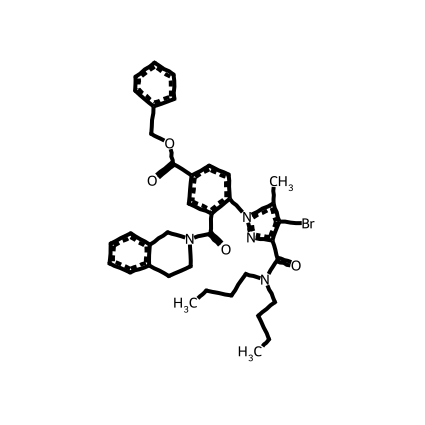 CCCCN(CCCC)C(=O)c1nn(-c2ccc(C(=O)OCc3ccccc3)cc2C(=O)N2CCc3ccccc3C2)c(C)c1Br